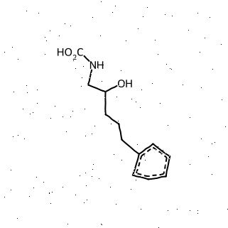 O=C(O)NCC(O)CCCc1ccccc1